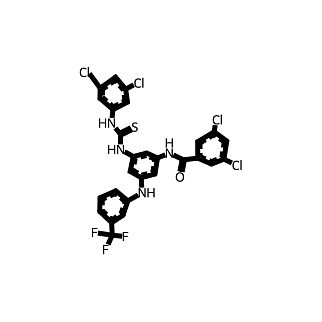 O=C(Nc1cc(NC(=S)Nc2cc(Cl)cc(Cl)c2)cc(Nc2cccc(C(F)(F)F)c2)c1)c1cc(Cl)cc(Cl)c1